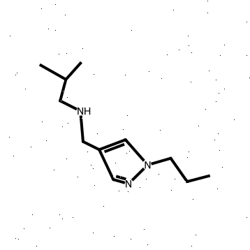 CCCn1cc(CNCC(C)C)cn1